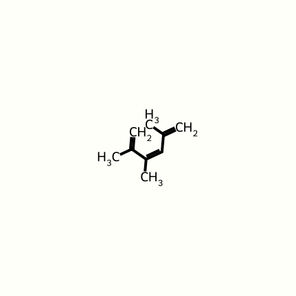 C=C(C)C=C(C)C(=C)C